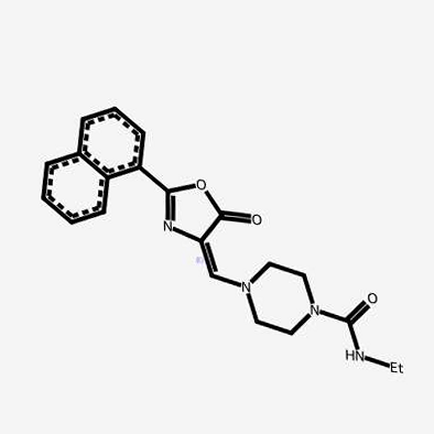 CCNC(=O)N1CCN(/C=C2/N=C(c3cccc4ccccc34)OC2=O)CC1